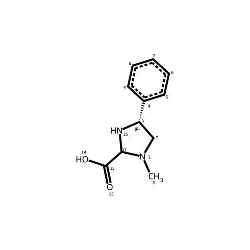 CN1C[C@@H](c2ccccc2)NC1C(=O)O